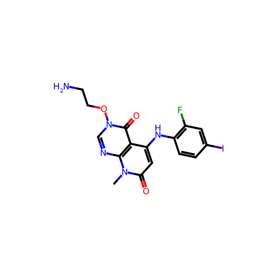 Cn1c(=O)cc(Nc2ccc(I)cc2F)c2c(=O)n(OCCN)cnc21